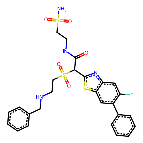 NS(=O)(=O)CCNC(=O)C(c1nc2cc(F)c(-c3ccccc3)cc2s1)S(=O)(=O)CCNCc1ccccc1